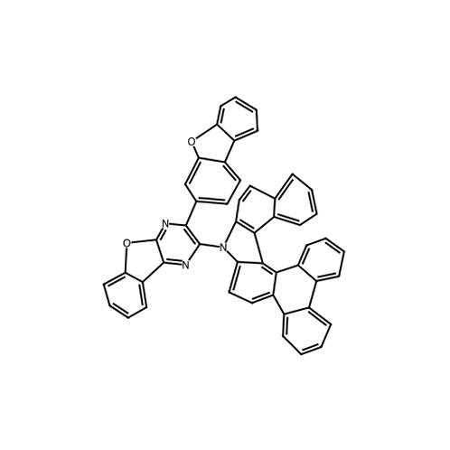 c1ccc2c(c1)ccc1c2c2c3c4ccccc4c4ccccc4c3ccc2n1-c1nc2c(nc1-c1ccc3c(c1)oc1ccccc13)oc1ccccc12